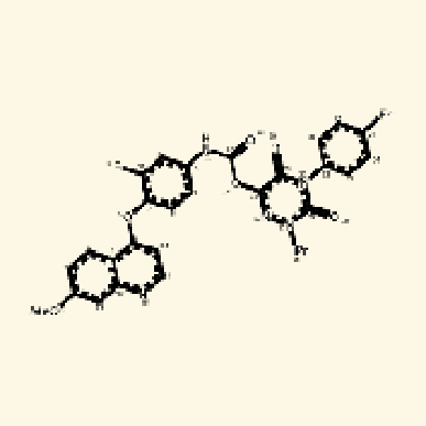 COc1ccc2c(Oc3ccc(NC(=O)Oc4nn(C(C)C)c(=O)n(-c5ccc(F)cc5)c4=O)cc3F)ccnc2c1